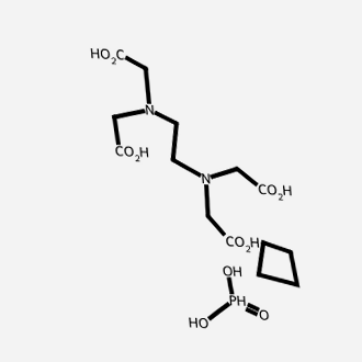 C1CCC1.O=C(O)CN(CCN(CC(=O)O)CC(=O)O)CC(=O)O.O=[PH](O)O